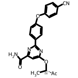 CC(=O)[C@H](C)Oc1cc(C(N)=O)nc(-c2ccc(Oc3ccc(C#N)cc3)cc2)n1